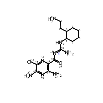 NCCC1CCCCC1N/C(N)=N/C(=O)c1nc(Cl)c(N)nc1N